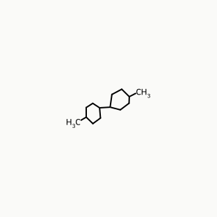 CC1CCC(C2CCC(C)CC2)CC1